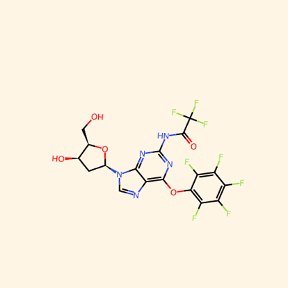 O=C(Nc1nc(Oc2c(F)c(F)c(F)c(F)c2F)c2ncn([C@H]3C[C@@H](O)[C@@H](CO)O3)c2n1)C(F)(F)F